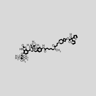 CN(CCCCC(=O)Nc1ccc(CNC[C@H](O[Si](C)(C)C(C)(C)C)c2ccc(O[Si](C)(C)C(C)(C)C)c3[nH]c(=O)sc23)cc1)C(=O)CCN1CCC2(CC1)CC(OC(=O)C(O)(c1cccs1)c1cccs1)C2